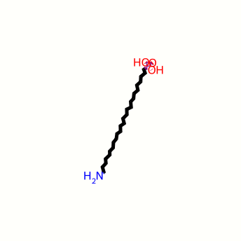 NCCCCCCCCCCCCCCCCCCCCCCCCCCP(=O)(O)O